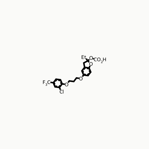 CCC1(OC(=O)O)Cc2cc(OCCCOc3ccc(C(F)(F)F)cc3Cl)ccc2O1